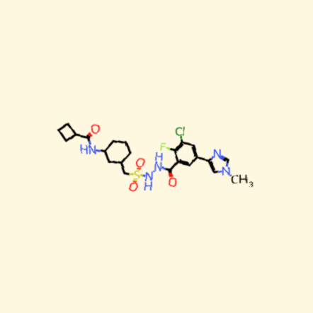 Cn1cnc(-c2cc(Cl)c(F)c(C(=O)NNS(=O)(=O)CC3CCCC(NC(=O)C4CCC4)C3)c2)c1